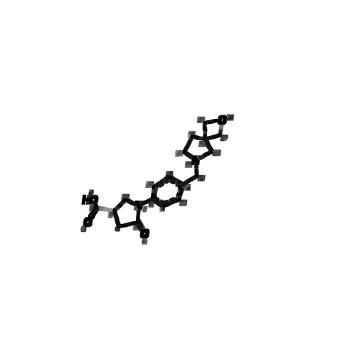 O=C(O)[C@H]1CC(=O)N(c2ccc(CN3CCC4(COC4)C3)cc2)C1